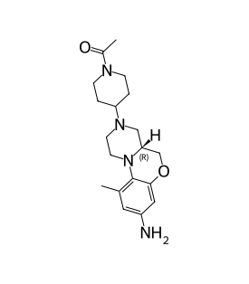 CC(=O)N1CCC(N2CCN3c4c(C)cc(N)cc4OC[C@H]3C2)CC1